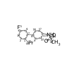 CC(C)c1ccc(F)cc1-c1ccc(NS(C)(=O)=O)cc1